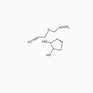 C=CCOCC=C.OC1CCCC1O